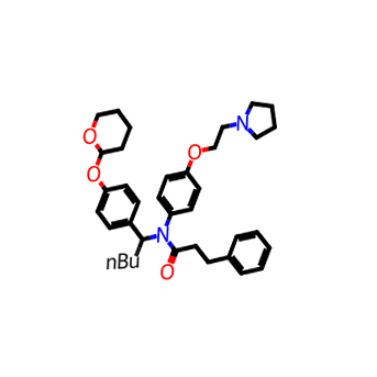 CCCCC(c1ccc(OC2CCCCO2)cc1)N(C(=O)CCc1ccccc1)c1ccc(OCCN2CCCC2)cc1